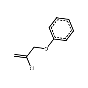 C=C(Cl)COc1c[c]ccc1